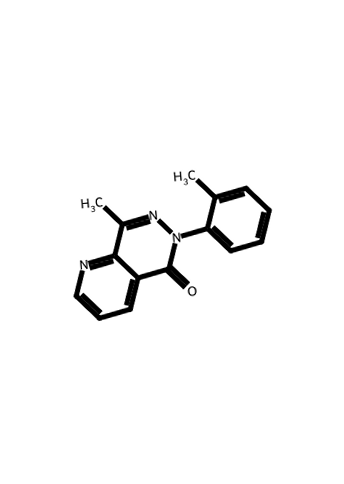 Cc1ccccc1-n1nc(C)c2ncccc2c1=O